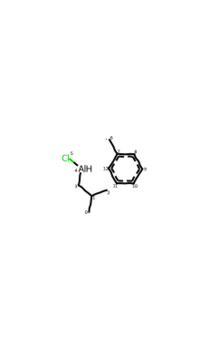 CC(C)[CH2][AlH][Cl].[CH2]c1ccccc1